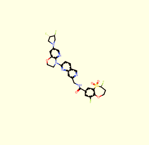 O=C(NCc1cc2nc(N3CCOc4cc(N5C[C@H](F)[C@@H](F)C5)cnc43)ccc2cn1)c1cc(F)c2c(c1)S(=O)(=O)[C@@H](F)CCO2